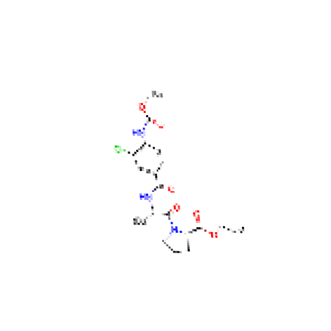 C=CCOC(=O)[C@H]1CCCN1C(=O)C(NC(=O)c1ccc(NC(=O)OC(C)(C)C)c(Cl)c1)C(C)(C)C